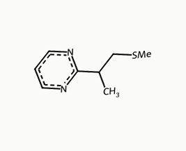 CSCC(C)c1ncccn1